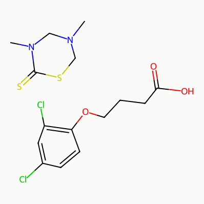 CN1CSC(=S)N(C)C1.O=C(O)CCCOc1ccc(Cl)cc1Cl